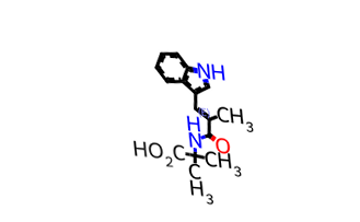 C/C(=C\c1c[nH]c2ccccc12)C(=O)NC(C)(C)C(=O)O